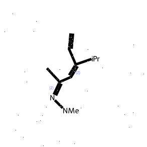 C=C/C(=C\C(C)=N/NC)C(C)C